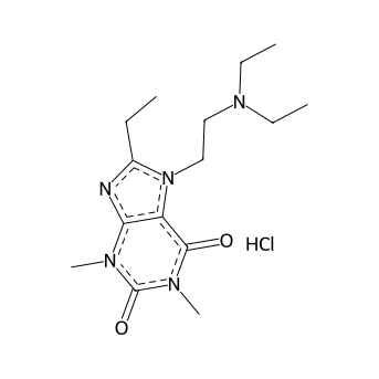 CCc1nc2c(c(=O)n(C)c(=O)n2C)n1CCN(CC)CC.Cl